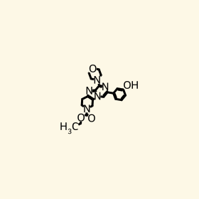 CCOC(=O)N1CCc2nc3c(N4CCOCC4)nc(-c4cccc(O)c4)cn3c2C1